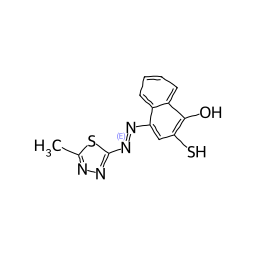 Cc1nnc(/N=N/c2cc(S)c(O)c3ccccc23)s1